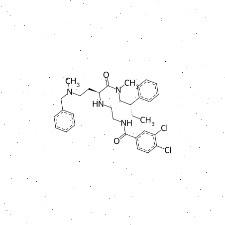 CC[C@H](CN(C)C(=O)[C@H](CCN(C)Cc1ccccc1)NCCNC(=O)c1ccc(Cl)c(Cl)c1)c1ccccc1